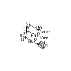 CCCCCCCCCCCC(=O)NCCCN(CC)CC.CCCCCCCCCCCC(=O)NCCCN(CC)CC.CCCCCCCCCCCC(=O)NCCCN(CC)CC.O=P(O)(O)O